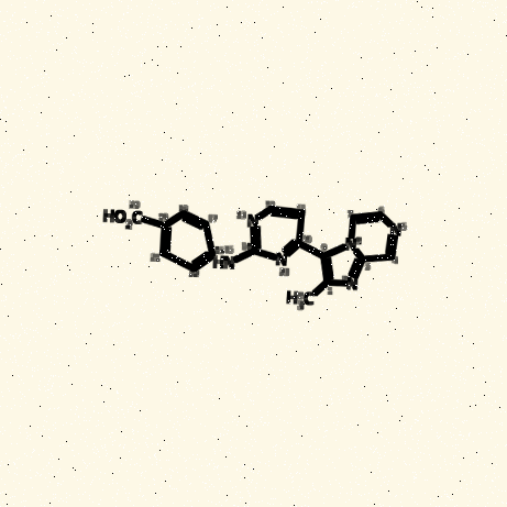 Cc1nc2cnccn2c1-c1ccnc(Nc2ccc(C(=O)O)cc2)n1